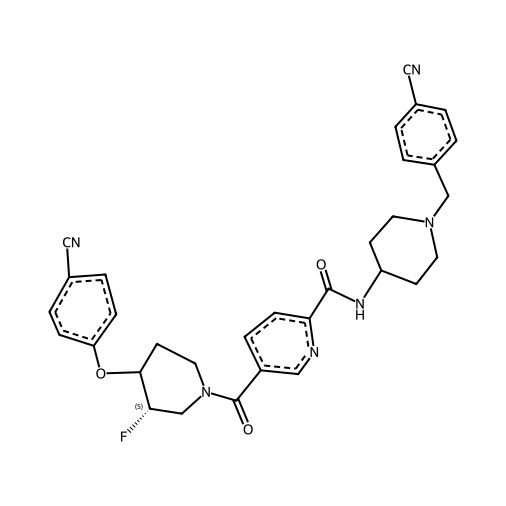 N#Cc1ccc(CN2CCC(NC(=O)c3ccc(C(=O)N4CCC(Oc5ccc(C#N)cc5)[C@@H](F)C4)cn3)CC2)cc1